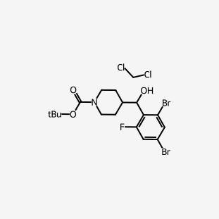 CC(C)(C)OC(=O)N1CCC(C(O)c2c(F)cc(Br)cc2Br)CC1.ClCCl